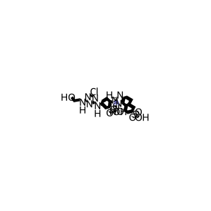 Nc1ccc2cc(S(=O)(=O)O)cc(O)c2c1/N=N/c1ccc(Nc2nc(Cl)nc(NCCO)n2)cc1S(=O)(=O)O